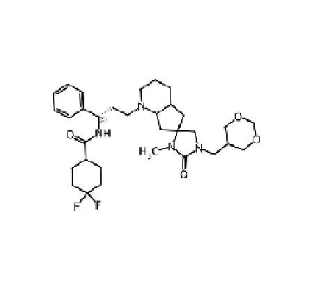 CN1C(=O)N(CC2COCOC2)CC12CC1CCCN(CC[C@H](NC(=O)C3CCC(F)(F)CC3)c3ccccc3)C1C2